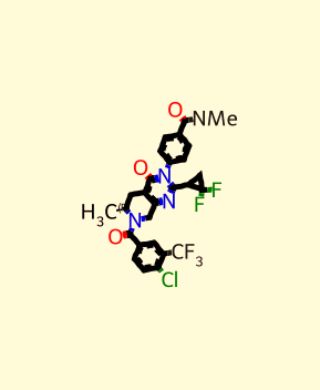 CNC(=O)c1ccc(-n2c(C3CC3(F)F)nc3c(c2=O)C[C@@H](C)N(C(=O)c2ccc(Cl)c(C(F)(F)F)c2)C3)cc1